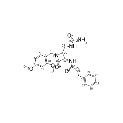 COc1ccc(CN2C(=O)C(NC(=O)OCc3ccccc3)C2CNC(N)=O)c(OC)c1